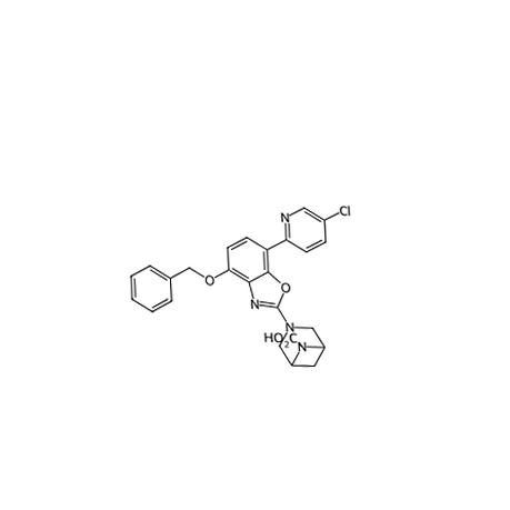 O=C(O)N1C2CC1CN(c1nc3c(OCc4ccccc4)ccc(-c4ccc(Cl)cn4)c3o1)C2